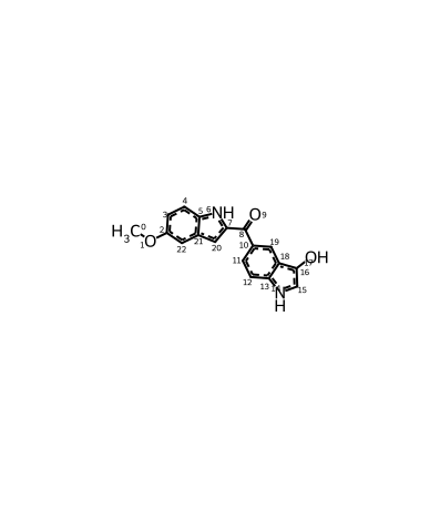 COc1ccc2[nH]c(C(=O)c3ccc4[nH]cc(O)c4c3)cc2c1